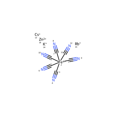 N#[C][Fe-4]([C]#N)([C]#N)([C]#N)([C]#N)[C]#N.[Cs+].[K+].[Rb+].[Zn+2]